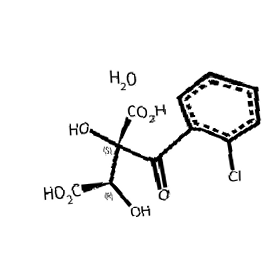 O.O=C(O)[C@H](O)[C@@](O)(C(=O)O)C(=O)c1ccccc1Cl